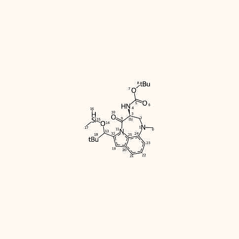 CN1C[C@H](NC(=O)OC(C)(C)C)C(=O)n2c(C(O[SiH](C)C)C(C)(C)C)cc3cccc1c32